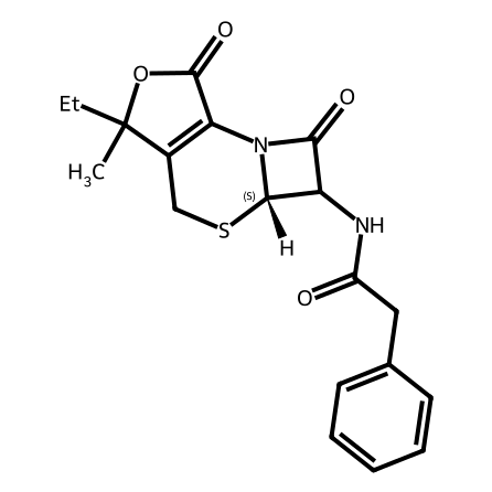 CCC1(C)OC(=O)C2=C1CS[C@H]1C(NC(=O)Cc3ccccc3)C(=O)N21